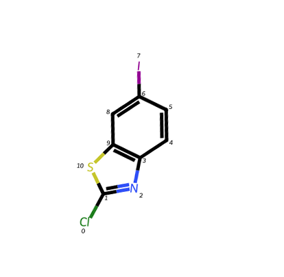 Clc1nc2ccc(I)cc2s1